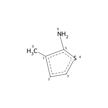 Cc1ccsc1N